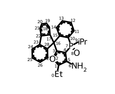 CCc1oc2c(c1N)P(=O)(C(C)C)c1ccccc1C21c2ccccc2-c2ccccc21